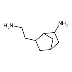 NCCC1CC2CC(N)C1C2